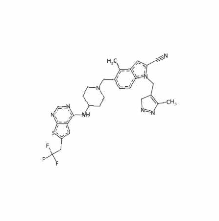 CC1=C(Cn2c(C#N)cc3c(C)c(CN4CCC(Nc5ncnc6sc(CC(F)(F)F)cc56)CC4)ccc32)CN=N1